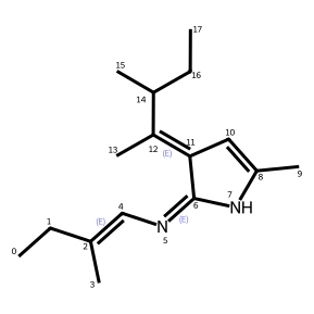 CC/C(C)=C/N=C1/NC(C)=C/C1=C(/C)C(C)CC